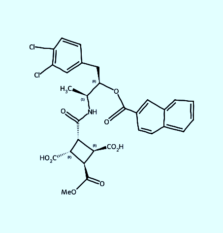 COC(=O)[C@H]1[C@H](C(=O)O)[C@H](C(=O)N[C@@H](C)[C@@H](Cc2ccc(Cl)c(Cl)c2)OC(=O)c2ccc3ccccc3c2)[C@H]1C(=O)O